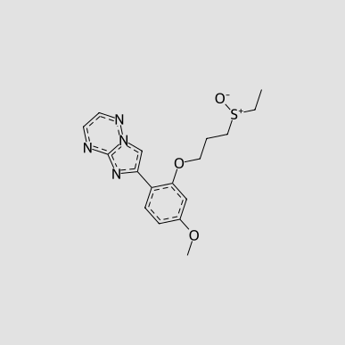 CC[S+]([O-])CCCOc1cc(OC)ccc1-c1cn2nccnc2n1